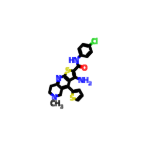 CN1CCc2nc3sc(C(=O)Nc4ccc(Cl)cc4)c(N)c3c(-c3cccs3)c2C1